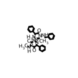 CNn1c(C)nnc(-c2ccccc2)c1=O.Cc1nnc(-c2ccccc2)c(=O)n1NCc1ccccc1